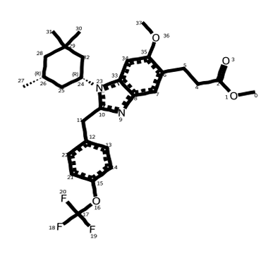 COC(=O)CCc1cc2nc(Cc3ccc(OC(F)(F)F)cc3)n([C@@H]3C[C@H](C)CC(C)(C)C3)c2cc1OC